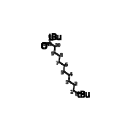 CC(C)(C)CCCCCCCCCCC(=O)C(C)(C)C